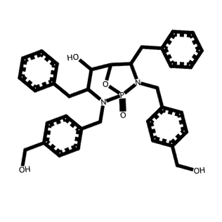 O=P12OC(C(O)C(Cc3ccccc3)N1Cc1ccc(CO)cc1)C(Cc1ccccc1)N2Cc1ccc(CO)cc1